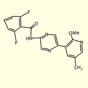 COc1ncc(C)cc1-c1cnc(NC(=O)c2c(F)cccc2F)cn1